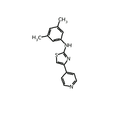 Cc1cc(C)cc(Nc2nc(-c3ccncc3)cs2)c1